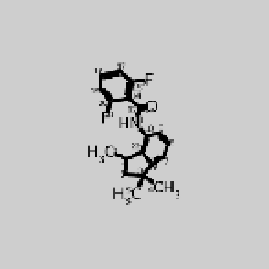 CC1CC(C)(C)c2cccc(NC(=O)c3c(F)cccc3F)c21